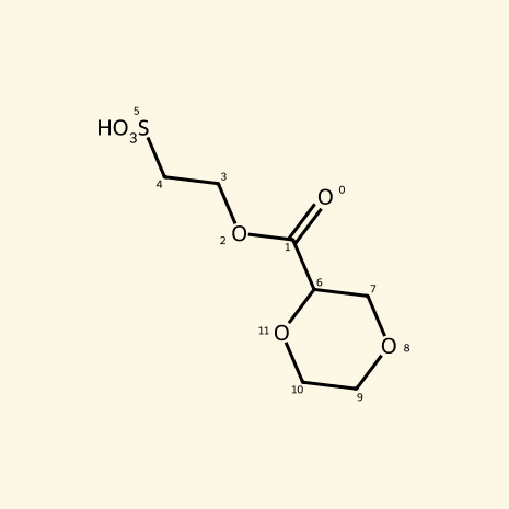 O=C(OCCS(=O)(=O)O)C1COCCO1